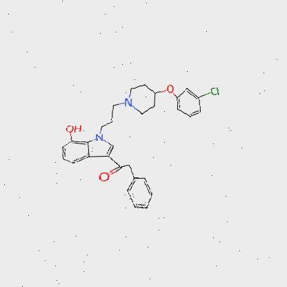 O=C(Cc1ccccc1)c1cn(CCCN2CCC(Oc3cccc(Cl)c3)CC2)c2c(O)cccc12